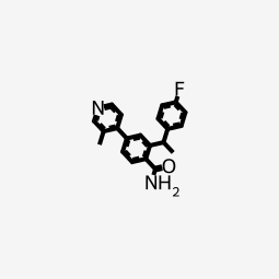 Cc1cnccc1-c1ccc(C(N)=O)c(C(C)c2ccc(F)cc2)c1